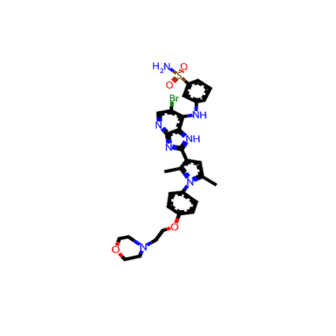 Cc1cc(-c2nc3ncc(Br)c(Nc4cccc(S(N)(=O)=O)c4)c3[nH]2)c(C)n1-c1ccc(OCCN2CCOCC2)cc1